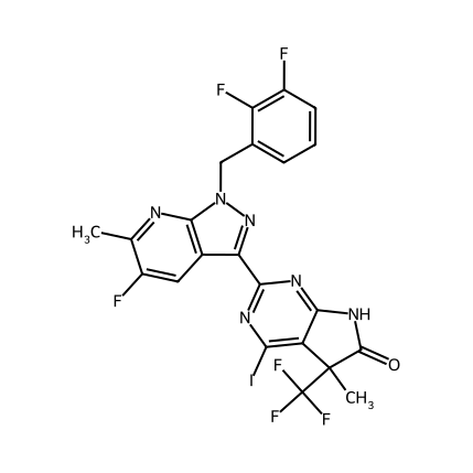 Cc1nc2c(cc1F)c(-c1nc(I)c3c(n1)NC(=O)C3(C)C(F)(F)F)nn2Cc1cccc(F)c1F